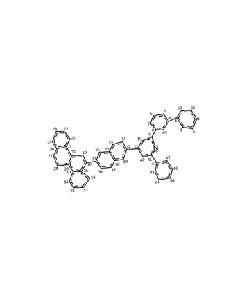 c1ccc(-c2cccc(-c3cc(-c4ccc5cc(-c6cc7c8ccccc8ccc7c7ccccc67)ccc5c4)cc(-c4ccccc4)n3)c2)cc1